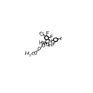 COCCOCCONC(=O)c1cc(Cl)c(F)c(F)c1Nc1ccc(I)cc1F